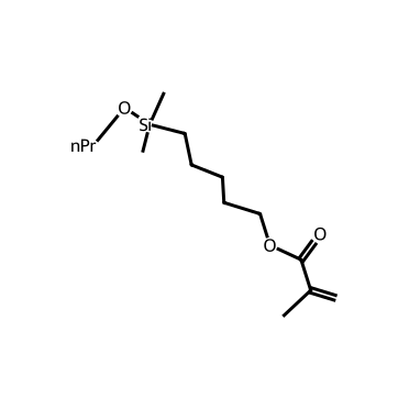 C=C(C)C(=O)OCCCCC[Si](C)(C)OCCC